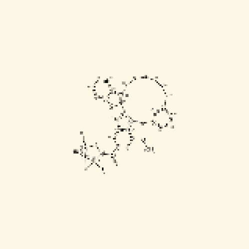 COc1cc(C(=O)N2C[C@H]3N[C@@]34C[C@@H]24)cc2nc3n(c12)Cc1cccc(c1)CCCCCCn1c-3cc2cccnc21